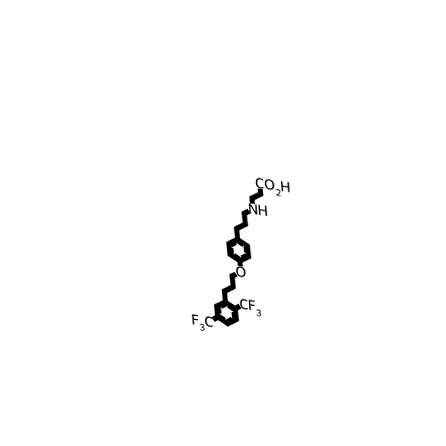 O=C(O)CCNCCCc1ccc(OCCCc2cc(C(F)(F)F)ccc2C(F)(F)F)cc1